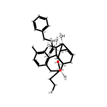 Cc1ccc2c3c1O[C@@H]1[C@]34CCN(CCF)[C@H](C2)C42CC=C3[C@@](C(=O)NCc4ccccc4)(C2)[C@]31O